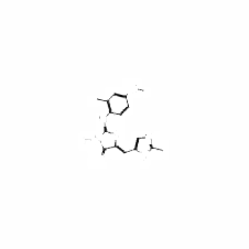 COc1ccc(/N=C2/NC(=O)/C(=C/c3cnc(C)s3)S2)c(C)c1